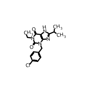 CCn1c(=O)c2[nH]c(C(C)C)nc2n(Cc2ccc(Cl)cc2)c1=O